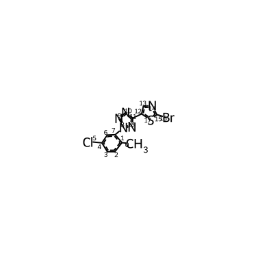 Cc1ccc(Cl)cc1-n1nnc(-c2cnc(Br)s2)n1